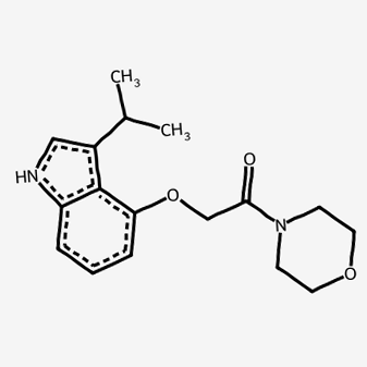 CC(C)c1c[nH]c2cccc(OCC(=O)N3CCOCC3)c12